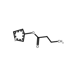 CCCC(=O)Oc1ccsc1